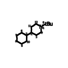 CC(C)(C)N1CCC(C2CCCCC2)CC1